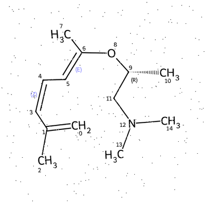 C=C(C)/C=C\C=C(/C)O[C@H](C)CN(C)C